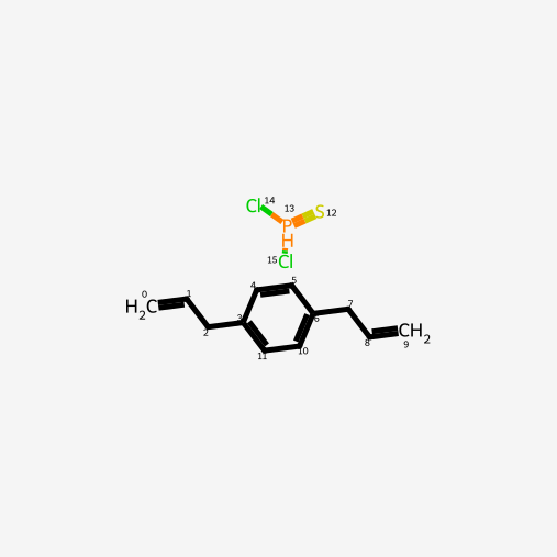 C=CCc1ccc(CC=C)cc1.S=[PH](Cl)Cl